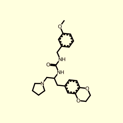 COc1cccc(CNC(=O)NC(Cc2ccc3c(c2)OCCO3)CN2CCCC2)c1